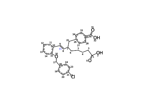 O=C(O)CCCCC(/C=C/c1ccccc1OCc1ccc(Cl)cc1)Cc1ccc(C(=O)O)cc1